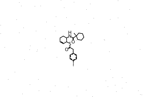 CC1(C(=O)NC2CCC=CC2SC(=O)Cc2ccc(I)cc2)CCCCC1